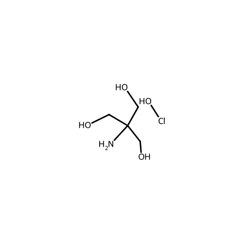 NC(CO)(CO)CO.OCl